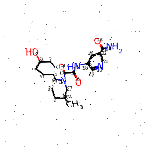 C[C@H]1CC[C@H]([C@H]2CC[C@H](O)CC2)N(C(=O)C(=O)Nc2cncc(C(N)=O)c2)C1